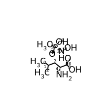 CC(C)C[C@H](N)C(=O)O.CP(=O)(O)NO